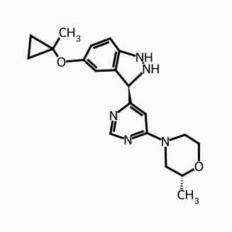 C[C@@H]1CN(c2cc([C@@H]3NNc4ccc(OC5(C)CC5)cc43)ncn2)CCO1